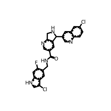 O=C(NCc1cc2c(Cl)c[nH]c2cc1F)c1cnc2c(c1)C(c1cnc3ccc(Cl)cc3c1)NC2